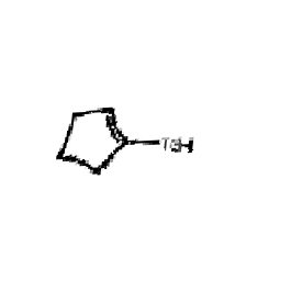 [TeH]C1=CCCC1